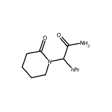 CCCC(C(N)=O)N1CCCCC1=O